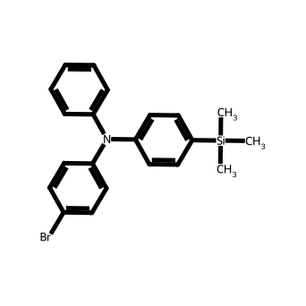 C[Si](C)(C)c1ccc(N(c2ccccc2)c2ccc(Br)cc2)cc1